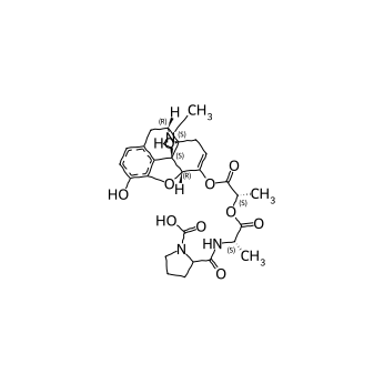 C[C@H](NC(=O)C1CCCN1C(=O)O)C(=O)O[C@@H](C)C(=O)OC1=CC[C@@]2(O)[C@H]3Cc4ccc(O)c5c4[C@@]2(CCN3C)[C@H]1O5